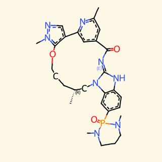 Cc1cc2cc(n1)-c1cnn(C)c1OCCC[C@@H](C)CN1/C(=N/C2=O)Nc2ccc(P3(=O)N(C)CCCN3C)cc21